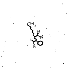 CCCCCCCCC(CCC(=C(C#N)C#N)C1CCCCC1)=C(C#N)C#N